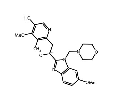 COc1ccc2nc([S+]([O-])Cc3ncc(C)c(OC)c3C)n(CN3CCOCC3)c2c1